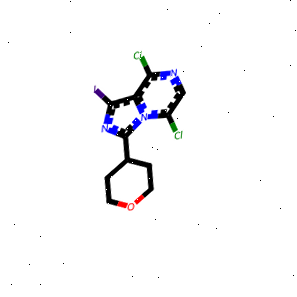 Clc1ncc(Cl)n2c(C3CCOCC3)nc(I)c12